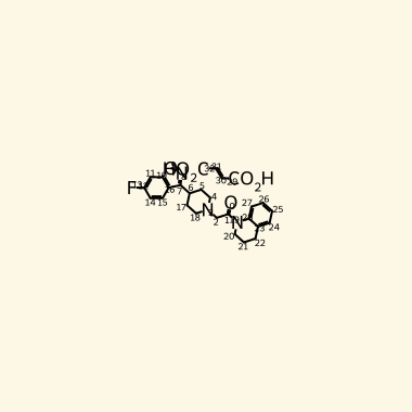 O=C(CN1CCC(c2noc3cc(F)ccc23)CC1)N1CCCc2ccccc21.O=C(O)C=CC(=O)O